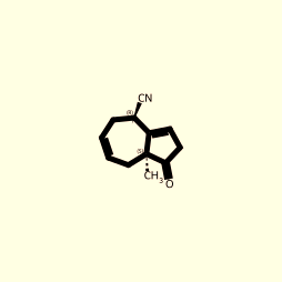 C[C@]12CC=CC[C@@H](C#N)C1=CCC2=O